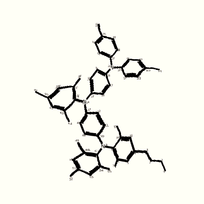 CCCCc1cc(C)c(N(c2ccc(N(c3ccc(N(c4ccc(C)cc4)c4ccc(C)cc4)cc3)c3c(C)cc(C)cc3C)cc2)c2c(C)cc(C)cc2C)c(C)c1